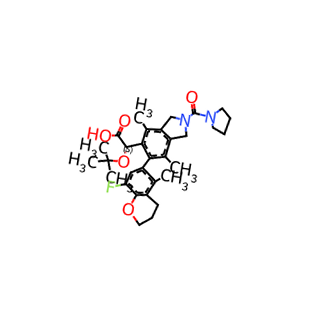 Cc1c(-c2c(C)c3c(c(C)c2[C@H](OC(C)(C)C)C(=O)O)CN(C(=O)N2CCCC2)C3)cc(F)c2c1CCCO2